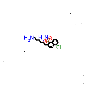 NCCCCCCc1ccc2c(Cl)cccc2c1S(N)(=O)=O